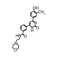 Cc1cc(-c2cc(-c3cccc(C(=O)NCCN4CCOCC4)c3)[nH]c(=O)n2)ccc1O